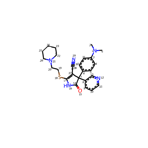 CN(C)c1ccc(C2(c3cccnc3)C(=O)NC(SCCN3CCCCC3)=C2C#N)cc1